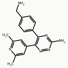 Cc1cc(-c2nnc(N)nc2-c2ccc(CN)cc2)cc(C)n1